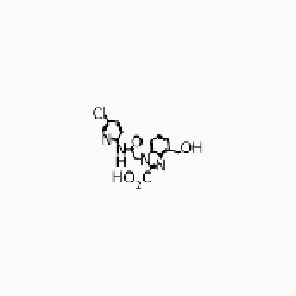 O=C(Cn1c(C(=O)O)nc2c(CO)cccc21)Nc1ccc(Cl)cn1